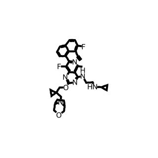 C#Cc1c(F)ccc2cccc(-c3nc(C)c4c(NCCNC5CC5)nc(OCC5(CN6C7CCC6COC7)CC5)nc4c3F)c12